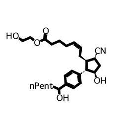 CCCCCC(O)c1ccc([C@@H]2[C@@H](C/C=C\CCCC(=O)OCCO)[C@H](C#N)C[C@H]2O)cc1